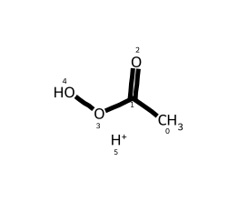 CC(=O)OO.[H+]